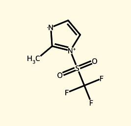 CC1=[N+](S(=O)(=O)C(F)(F)F)C=C[N]1